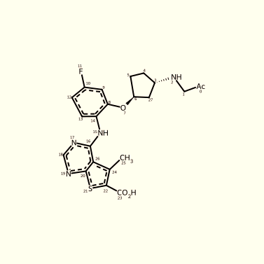 CC(=O)CN[C@H]1CC[C@H](Oc2cc(F)ccc2Nc2ncnc3sc(C(=O)O)c(C)c23)C1